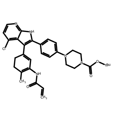 C=CC(=O)NC1=C(C)CCC(c2c(-c3ccc(N4CCN(C(=O)OC(C)(C)C)CC4)cc3)[nH]c3nccc(Cl)c23)=C1